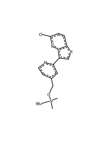 CC(C)(C)[Si](C)(C)OCc1ccnc(-c2cnc3ccc(Cl)nn23)c1